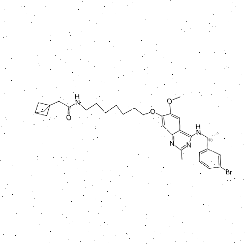 COc1cc2c(N[C@H](C)c3cccc(Br)c3)nc(C)nc2cc1OCCCCCCCNC(=O)CC12CC(C1)C2